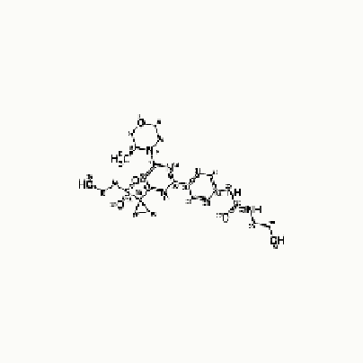 C[C@H]1COCCN1c1cc(C2(S(=O)(=O)CCO)CC2)nc(-c2ccc(NC(=O)NCCO)cc2)n1